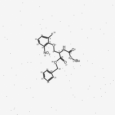 CC(C)(C)OC(=O)NC(COc1c(F)cccc1[N+](=O)[O-])C(=O)OCc1ccccc1